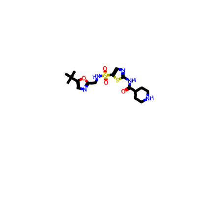 CC(C)(C)c1cnc(CNS(=O)(=O)c2cnc(NC(=O)C3CCNCC3)s2)o1